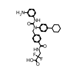 Nc1cccc(NC(=O)N(Cc2ccc(C(=O)NCC(F)(F)C(=O)O)cc2)c2ccc(C3CCCCC3)cc2)c1